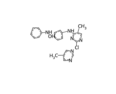 Cc1cnc(Cl)nc1Nc1ccccc1.Cc1cncnc1.ONc1ccccc1